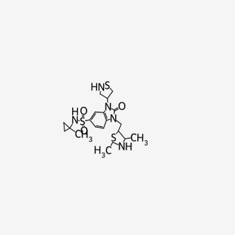 CC1NC(C)C(Cn2c(=O)n(C3CNSC3)c3cc(S(=O)(=O)NC4(C)CC4)ccc32)S1